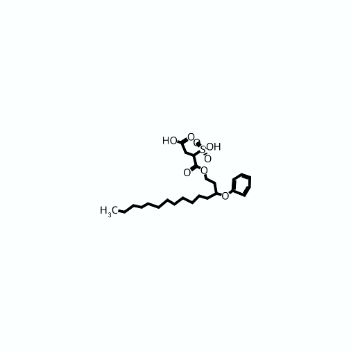 CCCCCCCCCCCCC(CCOC(=O)C(CC(=O)O)S(=O)(=O)O)Oc1ccccc1